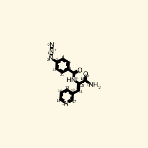 [N-]=[N+]=Nc1ccc(C(=O)N/C(=C\c2cccnc2)C(N)=O)cc1